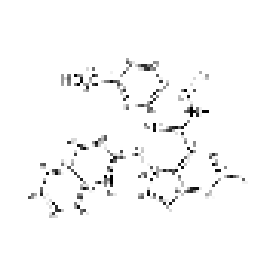 Cc1cc(C(=O)N[C@@H](C)c2ccc(C(=O)O)cc2)c2c(ccn2Cc2ccc3ccccc3n2)c1